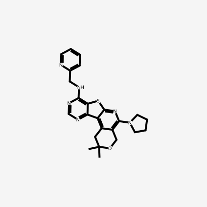 CC1(C)Cc2c(c(N3CCCC3)nc3sc4c(NCc5ccccn5)ncnc4c23)CO1